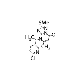 CSc1nc2n(C(C)c3ccc(Cl)nc3)c(C)cc(=O)n2n1